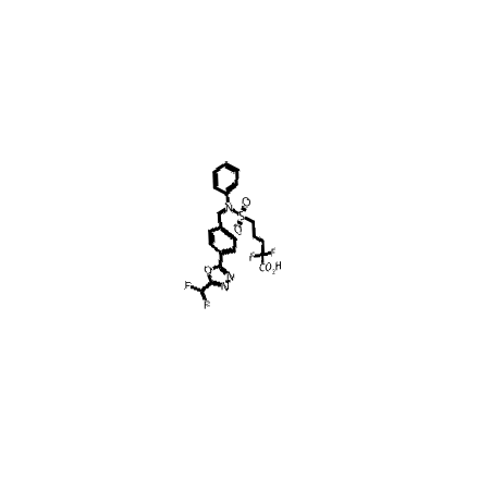 O=C(O)C(F)(F)CCCS(=O)(=O)N(Cc1ccc(-c2nnc(C(F)F)o2)cc1)c1ccccc1